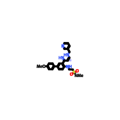 CNS(=O)(=O)CCNc1ccc(-c2ccc(OC)cc2)cc1C(=N)/C=C\NCc1cccnc1